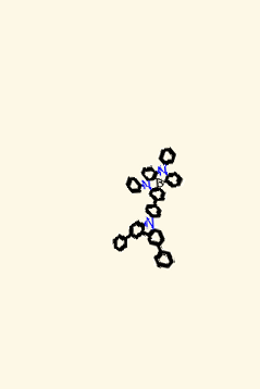 c1ccc(-c2ccc3c(c2)c2cc(-c4ccccc4)ccc2n3-c2ccc(-c3ccc4c(c3)N(c3ccccc3)c3cccc5c3B4c3ccccc3N5c3ccccc3)cc2)cc1